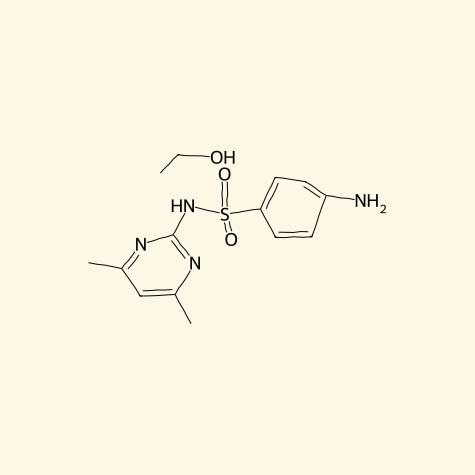 CCO.Cc1cc(C)nc(NS(=O)(=O)c2ccc(N)cc2)n1